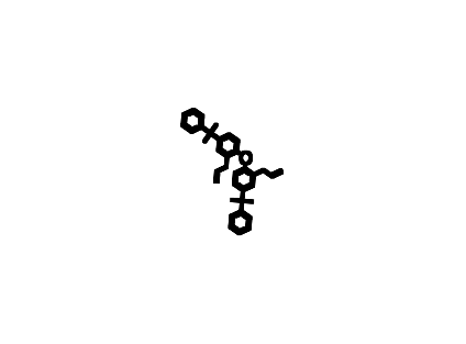 C=CCc1cc(C(C)(C)c2ccccc2)ccc1Oc1ccc(C(C)(C)c2ccccc2)cc1CC=C